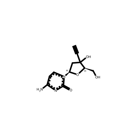 C#CC1(O)C[C@H](n2ccc(N)nc2=O)O[C@@H]1CO